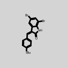 CC(C)(C)c1ccc(C=C2C(=O)Nc3c(Br)cc(Br)cc32)cc1